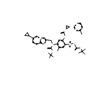 Cc1ccnc([C@H]2C[C@@H]2C(=O)Nc2cc(N(Cc3cn4cc(C5CC5)ccc4n3)C(=O)OC(C)(C)C)c(Cl)cc2S(=O)(=O)NC(=O)OC(C)(C)C)n1